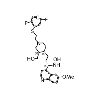 COc1ccc2nccc([C@H](CC[C@@H]3CCN(CCSc4cc(F)ccc4F)C[C@@H]3CO)NO)c2c1